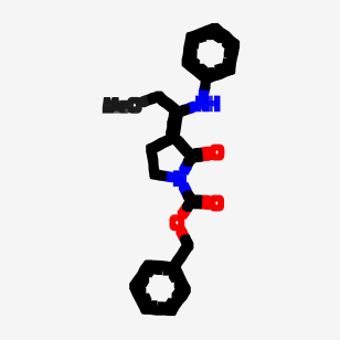 COC/C(Nc1ccccc1)=C1\CCN(C(=O)OCc2ccccc2)C1=O